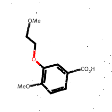 COCCOc1cc(C(=O)O)ccc1OC